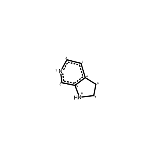 [c]1nccc2c1NCC2